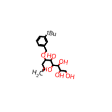 C=CCC(OCc1cccc(C(C)(C)C)c1)C(O)C(O)C(O)C(O)CO